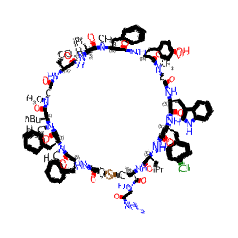 CCCC[C@H]1C(=O)N(C)CC(=O)N[C@@H](CC(=O)O)C(=O)N[C@@H](C(C)C)C(=O)N(C)[C@@H](Cc2ccccc2)C(=O)N[C@@H](Cc2ccc(O)cc2)C(=O)N(C)CC(=O)N[C@@H](Cc2c[nH]c3ccccc23)C(=O)N[C@@H](Cc2ccc(Cl)cc2)C(=O)N[C@@H](CC(C)C)C(=O)N[C@H](C(=O)NCC(N)=O)CSCC(=O)N[C@@H](Cc2ccccc2)C(=O)N(C)[C@@H](Cc2ccccc2)C(=O)N1C